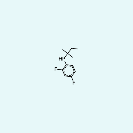 CCC(C)(C)Pc1ccc(F)cc1F